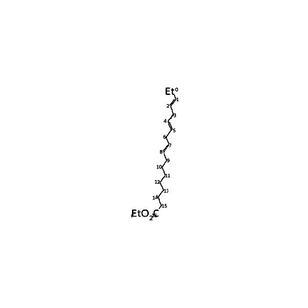 CCC=CCC=CCC=CCCCCCCCC(=O)OCC